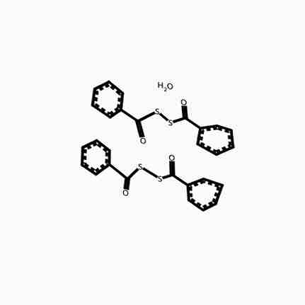 O.O=C(SSC(=O)c1ccccc1)c1ccccc1.O=C(SSC(=O)c1ccccc1)c1ccccc1